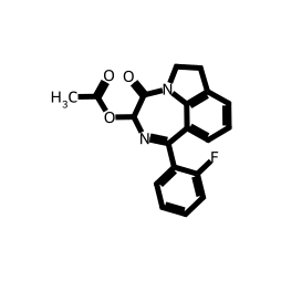 CC(=O)OC1N=C(c2ccccc2F)c2cccc3c2N(CC3)C1=O